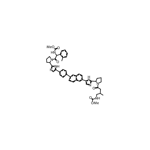 COC(=O)NCC(C)CC(=O)N1CCCC1c1ncc(-c2ccc3cc(-c4ccc(-c5cnc(C6CCCN6C(=O)C(NC(=O)OC)c6ccccc6C)[nH]5)cc4)ccc3c2)[nH]1